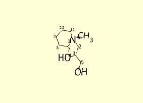 C[N+]1(CC(O)CO)CCCCC1